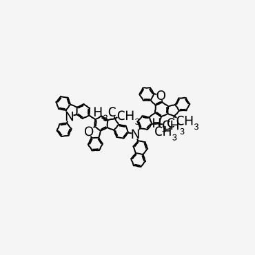 CC1(C)c2cc(N(c3ccc4c(c3)C(C)(C)c3c5c(c6oc7ccccc7c6c3-4)-c3ccccc3C5(C)C)c3ccc4ccccc4c3)ccc2-c2c1cc(-c1ccc3c4ccccc4n(-c4ccccc4)c3c1)c1oc3ccccc3c21